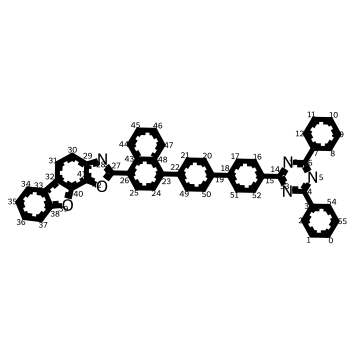 c1ccc(-c2nc(-c3ccccc3)nc(-c3ccc(-c4ccc(-c5ccc(-c6nc7ccc8c9ccccc9oc8c7o6)c6ccccc56)cc4)cc3)n2)cc1